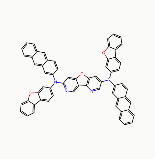 c1ccc2cc3cc(N(c4ccc5c(c4)oc4ccccc45)c4cnc5c(c4)oc4cc(N(c6ccc7cc8ccccc8cc7c6)c6ccc7c(c6)oc6ccccc67)ncc45)ccc3cc2c1